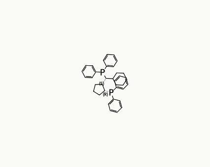 c1ccc(P(c2ccccc2)C(C2CCCCC2)[C@H]2CCC[C@H]2P(c2ccccc2)c2ccccc2)cc1